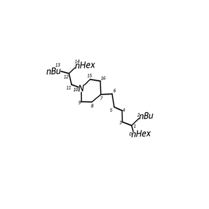 CCCCCCC(CCCC)CCCCC1CCN(CC(CCCC)CCCCCC)CC1